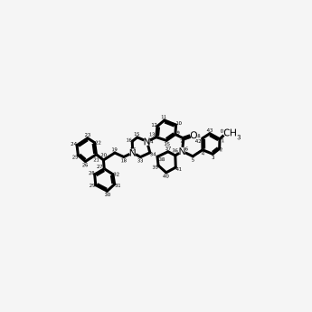 Cc1ccc(CN(C(=O)c2cccc(N3CCN(CCC(c4ccccc4)c4ccccc4)CC3)c2)C2CCCCC2)cc1